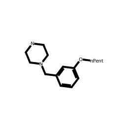 CCCCCOc1cccc(CN2CC[N]CC2)c1